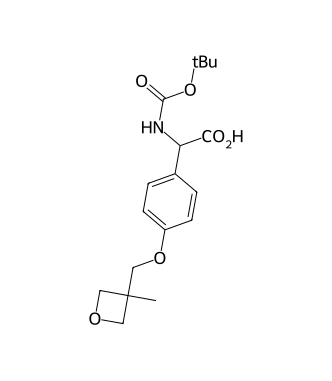 CC1(COc2ccc(C(NC(=O)OC(C)(C)C)C(=O)O)cc2)COC1